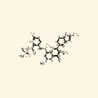 Cc1cc([C@@H](C)Nc2ccc(Cl)nc2C(=O)NS(C)(=O)=O)c2oc(-c3ccc4nn(C)cc4n3)c(C)c(=O)c2c1